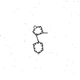 Cc1cocc1-c1cc[c]cc1